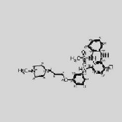 CN1CCN(CCCOc2cccc(Nc3ncc(Cl)c(Nc4ccccc4NS(C)(=O)=O)n3)c2)CC1